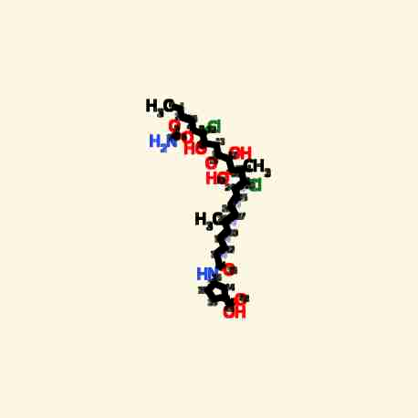 CC/C=C/C(OC(N)=O)C(Cl)C(O)CC(=O)C(O)C(O)C(C)/C(Cl)=C/C=C/C=C(C)/C=C/C=C/C(=O)NC1CCC(C(=O)O)C1